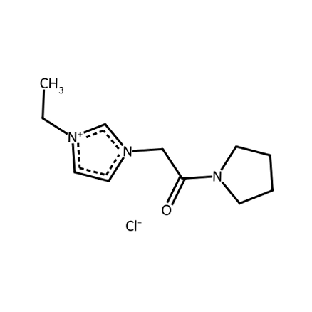 CC[n+]1ccn(CC(=O)N2CCCC2)c1.[Cl-]